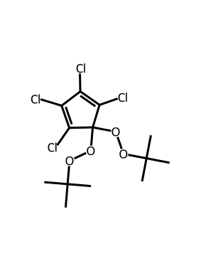 CC(C)(C)OOC1(OOC(C)(C)C)C(Cl)=C(Cl)C(Cl)=C1Cl